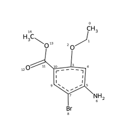 CCOc1cc(N)c(Br)cc1C(=O)OC